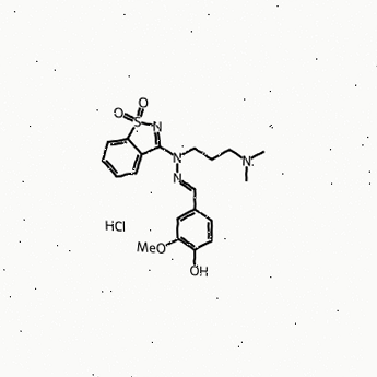 COc1cc(/C=N/N(CCCN(C)C)C2=NS(=O)(=O)c3ccccc32)ccc1O.Cl